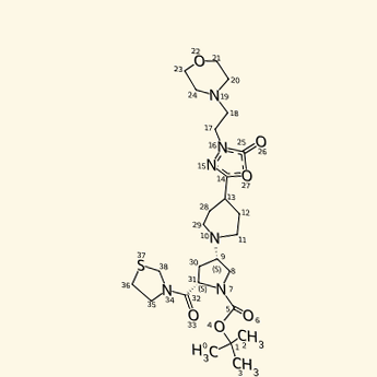 CC(C)(C)OC(=O)N1C[C@@H](N2CCC(c3nn(CCN4CCOCC4)c(=O)o3)CC2)C[C@H]1C(=O)N1CCSC1